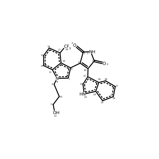 O=C1NC(=O)C(c2cn(CCCO)c3cccc(C(F)(F)F)c23)=C1c1c[nH]c2ccccc12